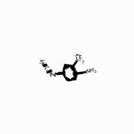 Nc1ccc(N=C=S)cc1C(F)(F)F